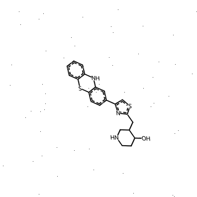 OC1CCNCC1Cc1nc(-c2ccc3c(c2)Nc2ccccc2S3)cs1